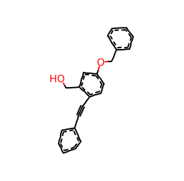 OCc1cc(OCc2ccccc2)ccc1C#Cc1ccccc1